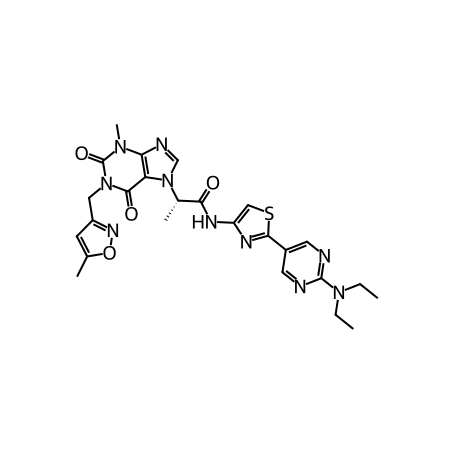 CCN(CC)c1ncc(-c2nc(NC(=O)[C@H](C)n3cnc4c3c(=O)n(Cc3cc(C)on3)c(=O)n4C)cs2)cn1